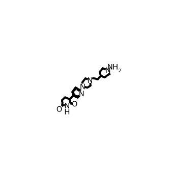 NN1CCC(CCN2CCN(c3ccc(C4CCC(=O)NC4=O)cn3)CC2)CC1